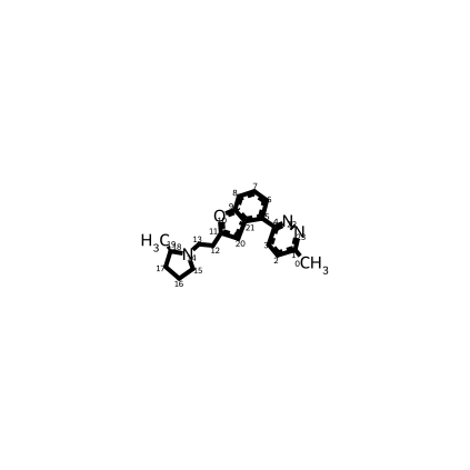 Cc1ccc(-c2cccc3oc(CCN4CCC[C@H]4C)cc23)nn1